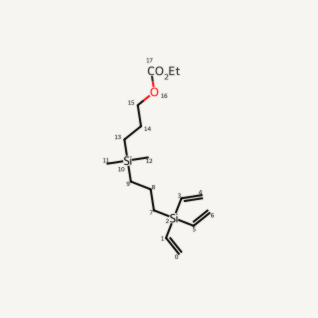 C=C[Si](C=C)(C=C)CCC[Si](C)(C)CCCOC(=O)OCC